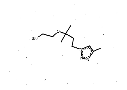 Cc1cn(CCC(C)(C)OCCC(C)(C)C)nn1